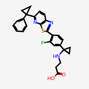 O=C(O)CCNC1(c2ccc(-c3nc4ccc(C5(c6ccccc6)CC5)nc4s3)c(F)c2)CC1